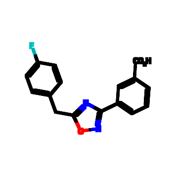 O=C(O)c1cccc(-c2noc(Cc3ccc(F)cc3)n2)c1